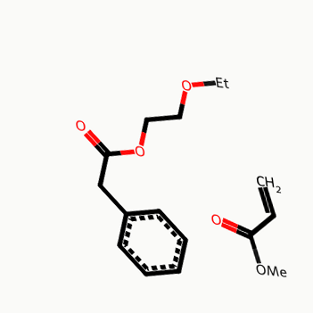 C=CC(=O)OC.CCOCCOC(=O)Cc1ccccc1